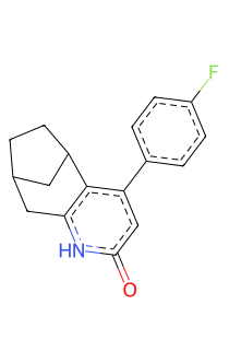 O=c1cc(-c2ccc(F)cc2)c2c([nH]1)CC1CCC2C1